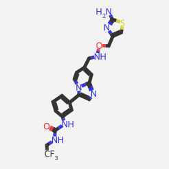 Nc1nc(CONCc2ccn3c(-c4cccc(NC(=O)NCC(F)(F)F)c4)cnc3c2)cs1